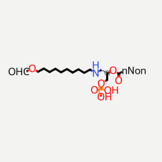 CCCCCCCCCC(=O)O[C@@H](CNCCCCCCCCCCOC=O)COP(=O)(O)O